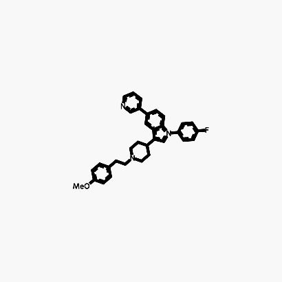 COc1ccc(CCN2CCC(c3cn(-c4ccc(F)cc4)c4ccc(-c5cccnc5)cc34)CC2)cc1